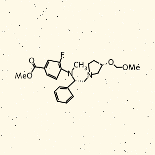 COCO[C@H]1CCN(C[C@H](c2ccccc2)N(C)c2ccc(C(=O)OC)cc2F)C1